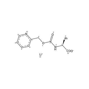 CC(C)[C@H](NC(=O)OCc1ccccn1)C(=O)[O-].[Li+]